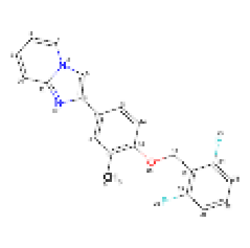 Cc1cc(-c2cn3ccccc3n2)ccc1OCc1c(F)cccc1F